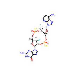 Nc1nc2c(ncn2[C@@H]2O[C@@H]3CO[P@@](=O)(S)O[C@H]4[C@H](F)[C@H](n5cnc6c(N)ccnc65)O[C@@H]4CO[P@](=O)(S)O[C@@H]2[C@@H]3F)c(=O)[nH]1